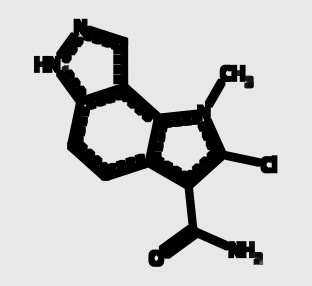 Cn1c(Cl)c(C(N)=O)c2ccc3[nH]ncc3c21